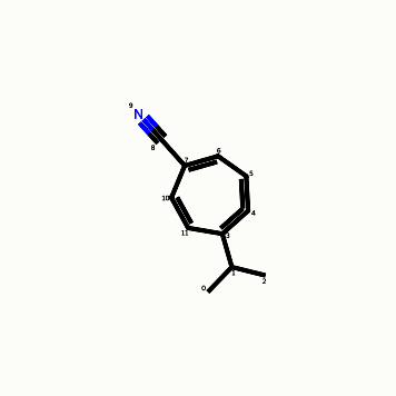 CC(C)C1=C=CC=C(C#N)C=C1